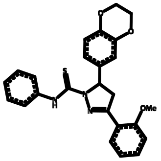 COc1ccccc1C1=NN(C(=S)Nc2ccccc2)C(c2ccc3c(c2)OCCO3)C1